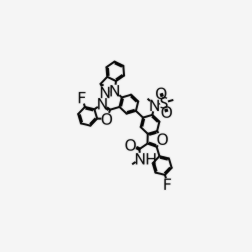 CNC(=O)c1c(-c2ccc(F)cc2)oc2cc(N(C)S(C)(=O)=O)c(-c3ccc(-n4ncc5ccccc54)c(-c4nc5c(F)cccc5o4)c3)cc12